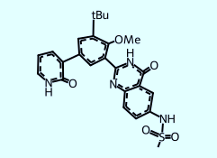 COc1c(-c2nc3ccc(NS(C)(=O)=O)cc3c(=O)[nH]2)cc(-c2ccc[nH]c2=O)cc1C(C)(C)C